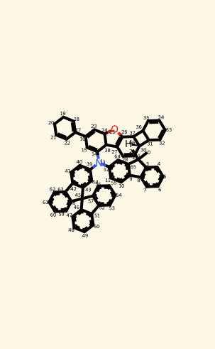 CC1(C)c2ccccc2-c2ccc(N(C3=CC(C4=CCCC=C4)=CC4OC5=C(C=C[C@H]6C7C=CC=CC7C56)C34)c3ccc4c(c3)C3(c5ccccc5-c5ccccc53)c3ccccc3-4)cc21